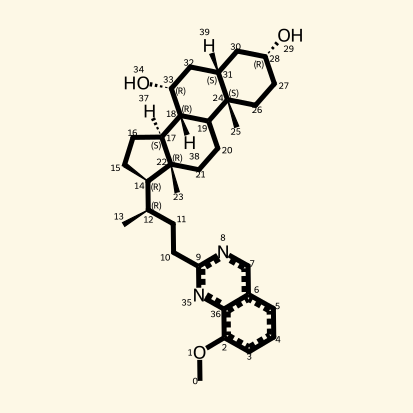 COc1cccc2cnc(CC[C@@H](C)[C@H]3CC[C@H]4[C@H]5C(CC[C@]34C)[C@@]3(C)CC[C@@H](O)C[C@H]3C[C@H]5O)nc12